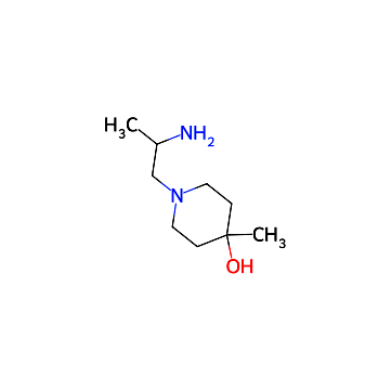 CC(N)CN1CCC(C)(O)CC1